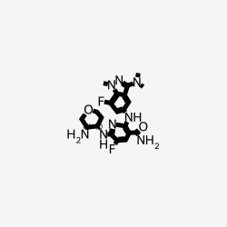 CN(C)c1nn(C)c2c(F)cc(Nc3nc(N[C@@H]4CCOC[C@@H]4N)c(F)cc3C(N)=O)cc12